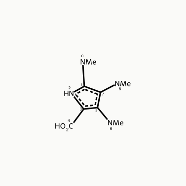 CNc1[nH]c(C(=O)O)c(NC)c1NC